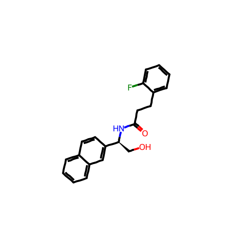 O=C(CCc1ccccc1F)N[C@@H](CO)c1ccc2ccccc2c1